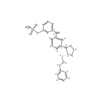 NS(=O)(=O)Cc1cccc(Nc2ncnc(N3CCC[C@@H]3COCc3ccccc3)n2)c1